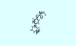 NC(=O)Oc1ccc(N2CCCC(F)(F)C2)nc1